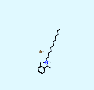 CCCCCCCCCCCC[N+](C)(C)C(C)c1ccccc1C.[Br-]